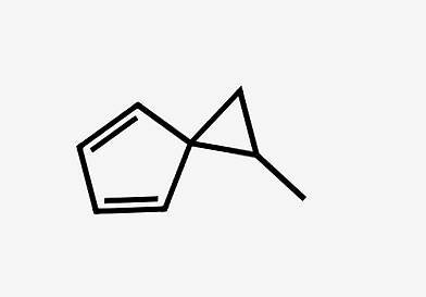 CC1CC12C=CC=C2